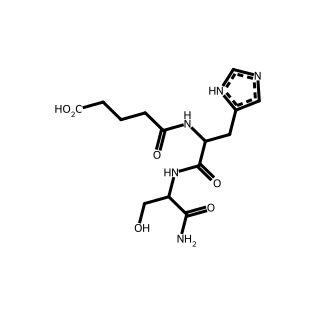 NC(=O)C(CO)NC(=O)C(Cc1cnc[nH]1)NC(=O)CCCC(=O)O